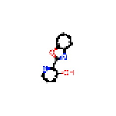 Oc1cccnc1-c1nc2ccccc2o1